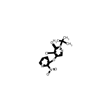 CC(C)(C)n1ncc(Oc2cccnc2[N+](=O)[O-])c(Cl)c1=O